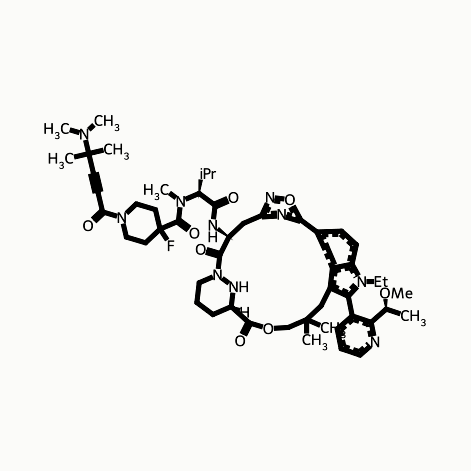 CCn1c(-c2cccnc2[C@H](C)OC)c2c3cc(ccc31)-c1nc(no1)C[C@H](NC(=O)[C@H](C(C)C)N(C)C(=O)C1(F)CCN(C(=O)C#CC(C)(C)N(C)C)CC1)C(=O)N1CCC[C@H](N1)C(=O)OCC(C)(C)C2